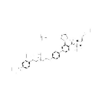 Cl.Cl.Nc1ccc([C@H](O)CNCCCc2ccc(-c3ccc(C(=O)NS(=O)(=O)CCCO)c(C4CCCC4)c3)cc2)cc1